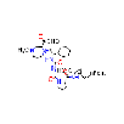 CCCCC/C=C\C1C[C@]1(NC(=O)[C@@H]1CCCN1C(=O)CNC(=O)NC(CN1CCCN(C)C[C@H]1C(=O)C=O)C1CCCCC1)C(=O)O